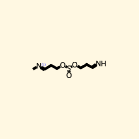 C/N=C/CCOS(=O)OCCC=N